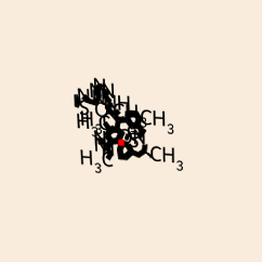 CC[C@H]1Cc2ccccc2S(=O)(=O)N(Cc2cc(C(c3ccc4c(nnn4CC)c3C)C(C)(C)C(=O)Nc3nnnn3Cc3nccs3)ccc2C)C1